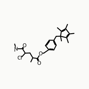 CC1=C(C)C(C)(Cc2ccc(COC(=O)C(C)CC(Cl)C(=O)N(C)C)cc2)C(C)=C1C